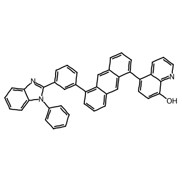 Oc1ccc(-c2cccc3cc4c(-c5cccc(-c6nc7ccccc7n6-c6ccccc6)c5)cccc4cc23)c2cccnc12